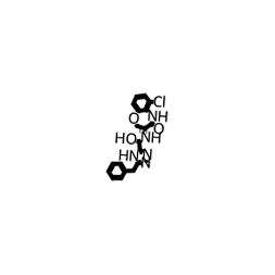 O=C1Nc2c(Cl)cccc2OC[C@@H]1NC(O)c1nnc(Cc2ccccc2)[nH]1